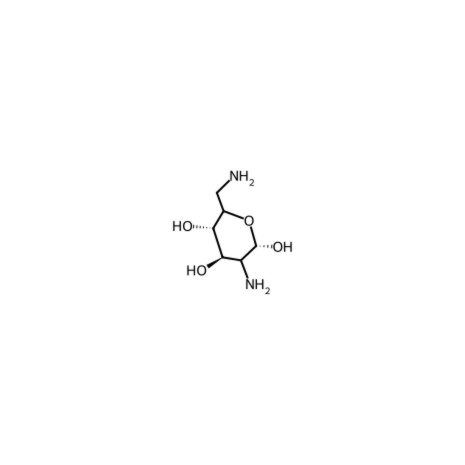 NCC1O[C@H](O)C(N)[C@@H](O)[C@@H]1O